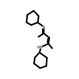 C/C(=C/C(C)=N/C1CCCCC1)NC1CCCCC1